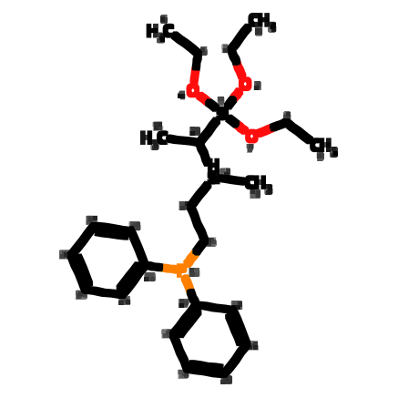 CCO[Si](OCC)(OCC)C(C)[SiH](C)CCP(c1ccccc1)c1ccccc1